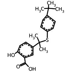 CC(C)(C)c1ccc(SC(C)(C)c2ccc(O)c(C(=O)O)c2)cc1